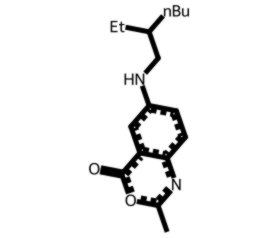 CCCCC(CC)CNc1ccc2nc(C)oc(=O)c2c1